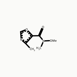 CON(C)C(=O)c1ocnc1C